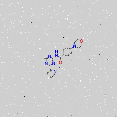 Cc1nc(NC(=O)c2ccc(N3CCOCC3)cc2)nc(-c2ccccn2)n1